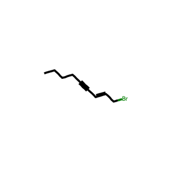 CCCCC#CC=CCBr